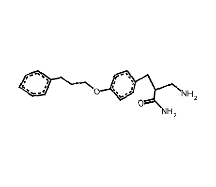 NCC(Cc1ccc(OCCCc2ccccc2)cc1)C(N)=O